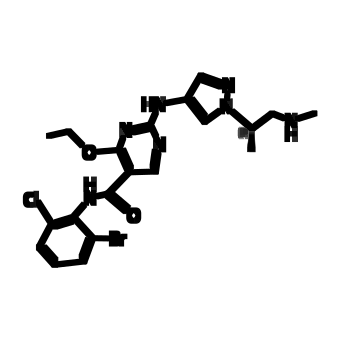 CCOc1nc(Nc2cnn([C@H](C)CNC)c2)ncc1C(=O)Nc1c(Cl)cccc1Br